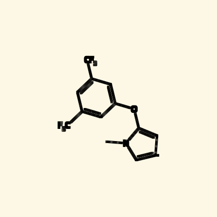 Cn1c[c]cc1Oc1cc(C(F)(F)F)cc(C(F)(F)F)c1